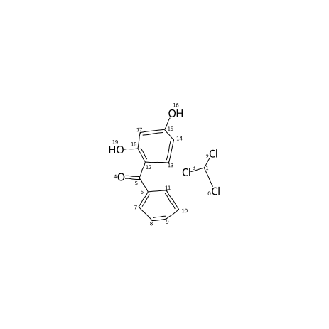 ClC(Cl)Cl.O=C(c1ccccc1)c1ccc(O)cc1O